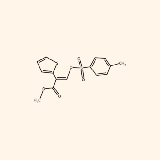 COC(=O)/C(=C/OS(=O)(=O)c1ccc(C)cc1)c1cccs1